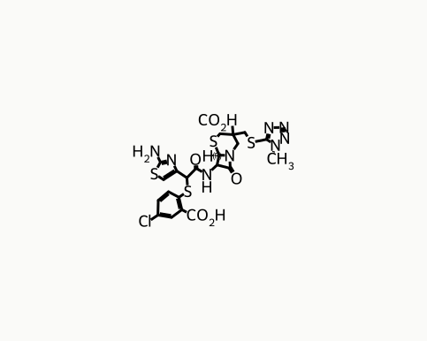 Cn1nnnc1SCC1(C(=O)O)CS[C@@H]2C(NC(=O)C(Sc3ccc(Cl)cc3C(=O)O)c3csc(N)n3)C(=O)N2C1